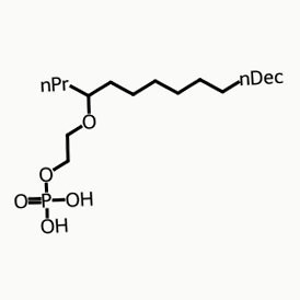 CCCCCCCCCCCCCCCCC(CCC)OCCOP(=O)(O)O